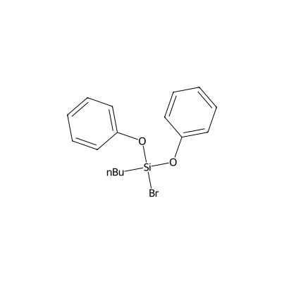 CCCC[Si](Br)(Oc1ccccc1)Oc1ccccc1